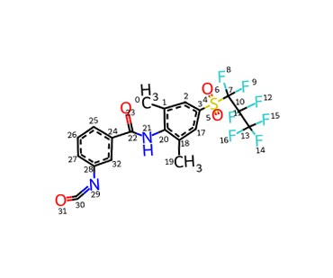 Cc1cc(S(=O)(=O)C(F)(F)C(F)(F)C(F)(F)F)cc(C)c1NC(=O)c1cccc(N=C=O)c1